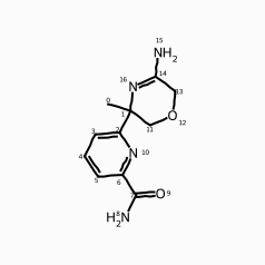 CC1(c2cccc(C(N)=O)n2)COCC(N)=N1